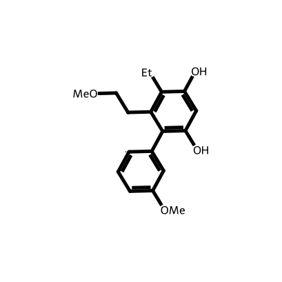 CCc1c(O)cc(O)c(-c2[c]ccc(OC)c2)c1CCOC